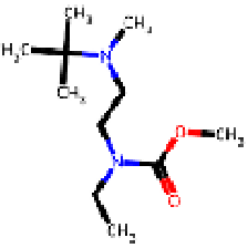 CCN(CCN(C)C(C)(C)C)C(=O)OC